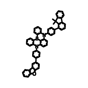 CC1(C)c2ccccc2-c2cccc(-c3ccc(N4c5ccccc5B5c6ccccc6N(c6ccc(-c7ccc8oc9ccccc9c8c7)cc6)c6cccc4c65)cc3)c21